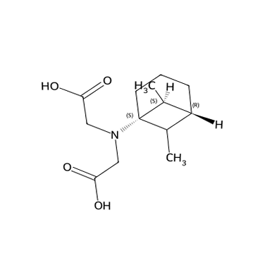 CC1[C@H]2CCC[C@@]1(N(CC(=O)O)CC(=O)O)[C@H]2C